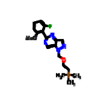 COc1cccc(F)c1-c1ncc2c(cnn2COCCS(C)(C)C)n1